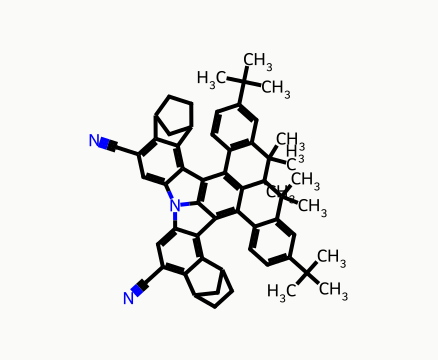 CC(C)(C)c1ccc2c(c1)C(C)(C)C1(C)c3c-2c2c4c5c(c(C#N)cc4n4c6cc(C#N)c7c(c6c(c3-c3ccc(C(C)(C)C)cc3C1(C)C)c24)C1CCC7C1)C1CCC5C1